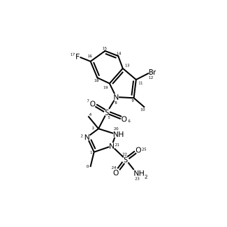 CC1=NC(C)(S(=O)(=O)n2c(C)c(Br)c3ccc(F)cc32)NN1S(N)(=O)=O